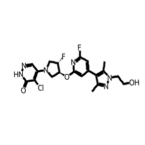 Cc1nn(CCO)c(C)c1-c1cc(F)nc(O[C@H]2CN(c3cn[nH]c(=O)c3Cl)C[C@@H]2F)c1